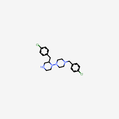 Clc1ccc(CC2CNCCN2N2CCN(Cc3ccc(Cl)cc3)CC2)cc1